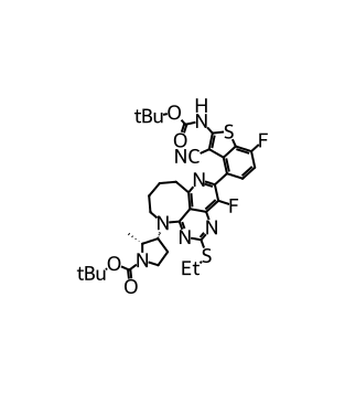 CCSc1nc2c3c(nc(-c4ccc(F)c5sc(NC(=O)OC(C)(C)C)c(C#N)c45)c(F)c3n1)CCCCN2[C@@H]1CCN(C(=O)OC(C)(C)C)[C@@H]1C